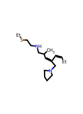 CC/C=C\C(=C/C(C)CNCCSCC)CN1CCCC1